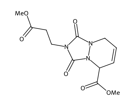 COC(=O)CCn1c(=O)n2n(c1=O)C(C(=O)OC)C=CC2